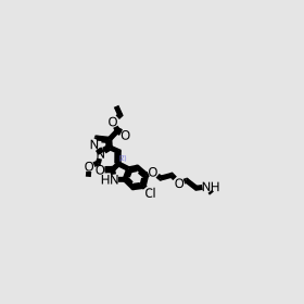 CCOC(=O)c1cnn(COC)c1/C=C1\C(=O)Nc2cc(Cl)c(OCCOCCNC)cc21